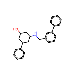 OC1CC(NCc2cccc(-c3ccccc3)c2)CC(c2ccccc2)C1